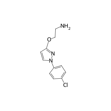 NCCOc1ccn(-c2ccc(Cl)cc2)n1